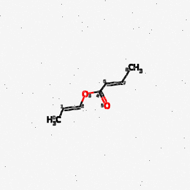 CC=COC(=O)C=CC